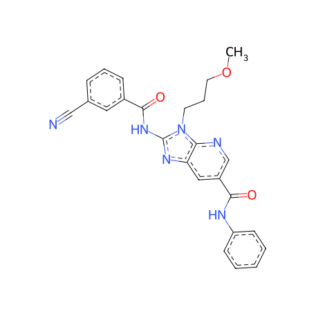 COCCCn1c(NC(=O)c2cccc(C#N)c2)nc2cc(C(=O)Nc3ccccc3)cnc21